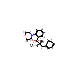 CCC(Cc1ccccc1)(NC)C(=O)c1ccccc1N1CCOCC1